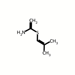 C=C(N)SC=C(C)C